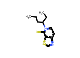 CCCC(CC)n1ccc2ncsc2c1=S